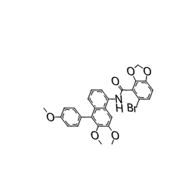 COc1ccc(-c2c(OC)c(OC)cc3c(NC(=O)c4c(Br)ccc5c4OCO5)cccc23)cc1